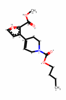 CCCCOC(=O)N1CC=C(c2ccoc2C(=O)OC)CC1